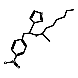 CCCCCCC(C)SC(Cc1ccc([N+](=O)[O-])cc1)n1ccnc1